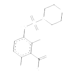 NC(=O)c1c(F)ccc(NS(=O)(=O)N2CCOCC2)c1F